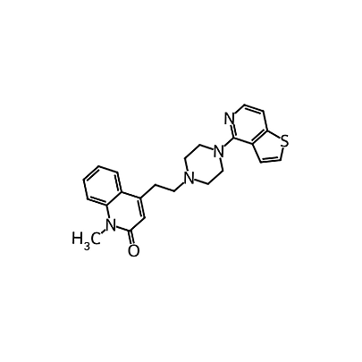 Cn1c(=O)cc(CCN2CCN(c3nccc4sccc34)CC2)c2ccccc21